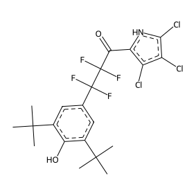 CC(C)(C)c1cc(C(F)(F)C(F)(F)C(=O)c2[nH]c(Cl)c(Cl)c2Cl)cc(C(C)(C)C)c1O